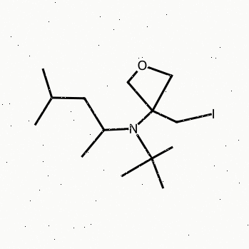 CC(C)CC(C)N(C(C)(C)C)C1(CI)COC1